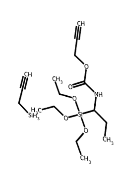 C#CCOC(=O)NC(CC)[Si](OCC)(OCC)OCC.C#CC[SiH3]